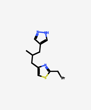 CC(C)Cc1nc(CC(C)Cc2cn[nH]c2)cs1